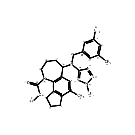 Cc1cc2c(c3c1CCC3)N(C(=O)OC(C)C)CCCC2N(Cc1cc(C(F)(F)F)cc(C(F)(F)F)c1)c1nnn(C)n1